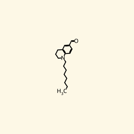 CCCCCCCCN1CCCc2cc(C=O)ccc21